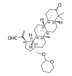 C=C(C=O)[C@@H]1CC[C@]2(COC3CCCCO3)CC[C@]3(C)[C@H](CC[C@@H]4[C@@]5(C)CCC(=O)C(C)(C)[C@@H]5CC[C@]43C)[C@@H]12